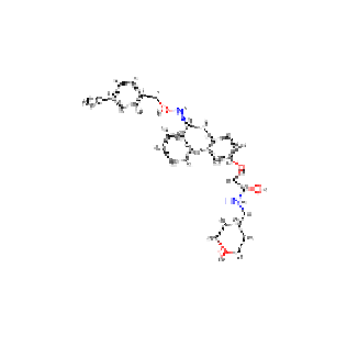 Cc1ccc(CON=C(Cc2ccc(OCC(=O)NCC3CCOCC3)cc2)c2ccccc2)cc1